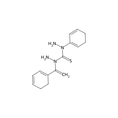 C=C(C1=CC=CCC1)N(N)C(=S)N(N)C1=CCCC=C1